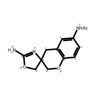 CC(=O)Nc1ccc2c(c1)CC1(COC(N)=N1)CO2